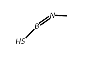 CN=BS